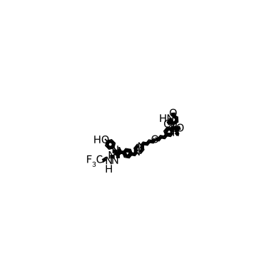 Cn1c(=O)n([C@H]2CCC(=O)NC2=O)c2ccc(CCCOCCCCN3CCN(Cc4ccc(-c5cn([C@H]6CC[C@H](O)CC6)c6nc(NCCC(F)(F)F)ncc56)cc4)CC3)cc21